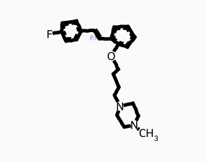 CN1CCN(CCCCOc2ccccc2/C=C/c2ccc(F)cc2)CC1